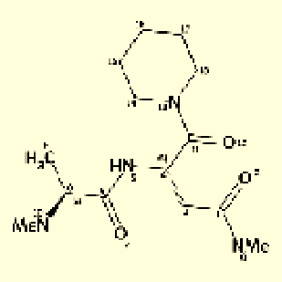 CNC(=O)C[C@H](NC(=O)[C@H](C)NC)C(=O)N1CCCCC1